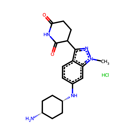 Cl.Cn1nc(C2CCC(=O)NC2=O)c2ccc(N[C@H]3CC[C@@H](N)CC3)cc21